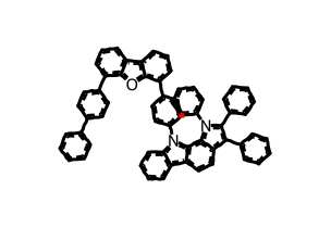 c1ccc(-c2ccc(-c3cccc4c3oc3c(-c5ccc(-n6c7ccccc7c7ccc8c(-c9ccccc9)c(-c9ccccc9)n(-c9ccccc9)c8c76)cc5)cccc34)cc2)cc1